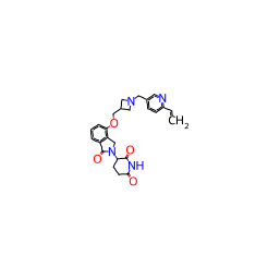 C=Cc1ccc(CN2CC(COc3cccc4c3CN(C3CCC(=O)NC3=O)C4=O)C2)cn1